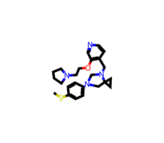 CSc1ccc(N2CN(Cc3ccncc3OCCN3CCCC3)C3(CC3)C2)cc1